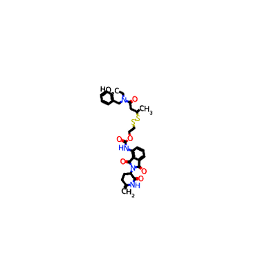 C=C1CCC(N2C(=O)c3cccc(NC(=O)OCCSSC(C)CC(=O)N(CC(=O)O)Cc4ccccc4)c3C2=O)C(=O)N1